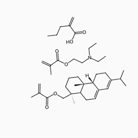 C=C(C)C(=O)OCCN(CC)CC.C=C(C)C(=O)OC[C@@]1(C)CCC[C@@]2(C)C1CC=C1C=C(C(C)C)CC[C@H]12.C=C(CCC)C(=O)O